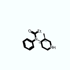 CCC(=O)N(c1ccccc1)[C@H]1CCNC[C@@H]1C